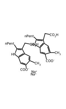 CCCCCc1[nH]c2cc(C(=O)[O-])c(C)cc2c1CC(=O)O.CCCCCc1[nH]c2cc(C(=O)[O-])c(C)cc2c1CC(=O)O.[Na+].[Na+]